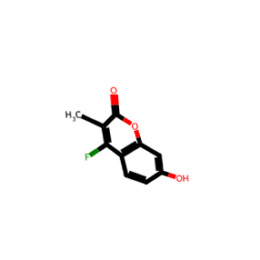 Cc1c(F)c2ccc(O)cc2oc1=O